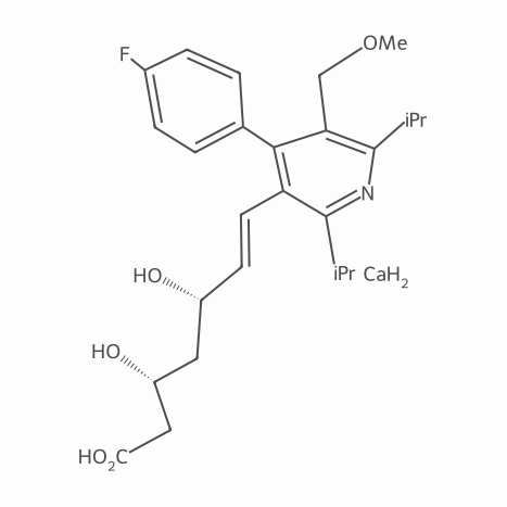 COCc1c(C(C)C)nc(C(C)C)c(C=C[C@@H](O)C[C@@H](O)CC(=O)O)c1-c1ccc(F)cc1.[CaH2]